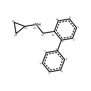 [c]1ccc(-c2ccccc2)c(CNC2CC2)c1